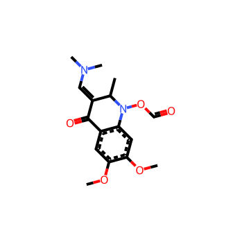 COc1cc2c(cc1OC)N(OC=O)C(C)C(=CN(C)C)C2=O